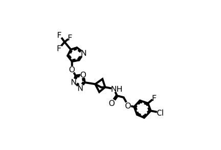 O=C(COc1ccc(Cl)c(F)c1)NC12CC(c3nnc(Oc4cncc(C(F)(F)F)c4)o3)(C1)C2